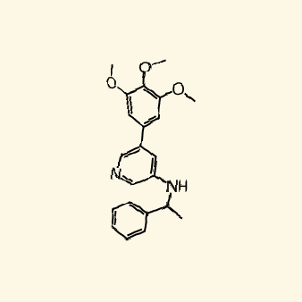 COc1cc(-c2cncc(NC(C)c3ccccc3)c2)cc(OC)c1OC